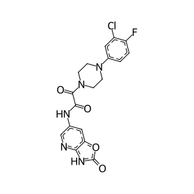 O=C(Nc1cnc2[nH]c(=O)oc2c1)C(=O)N1CCN(c2ccc(F)c(Cl)c2)CC1